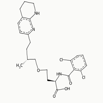 C[C@H](CCc1ccc2c(n1)NCCC2)COCC[C@@H](NC(=O)c1c(Cl)cccc1Cl)C(=O)O